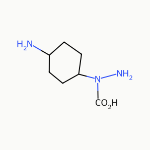 NC1CCC(N(N)C(=O)O)CC1